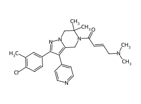 Cc1cc(-c2nn3c(c2-c2ccncc2)CN(C(=O)/C=C/CN(C)C)C(C)(C)C3)ccc1Cl